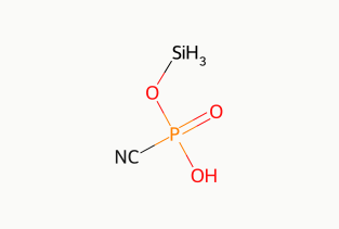 N#CP(=O)(O)O[SiH3]